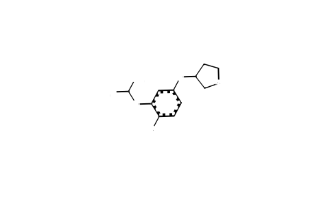 CC(C)Oc1cc(OC2CCNC2)ccc1N